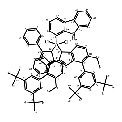 CCc1ccc2c(c1-c1cc(C(C)(C)C)cc(C(C)(C)C)c1)C=C(c1ccccc1)[CH]2[Zr]([Cl])([Cl])([c]1cccc2c1[SiH2]c1ccccc1-2)[CH]1C(c2ccccc2)=Cc2c1ccc(CC)c2-c1cc(C(C)(C)C)cc(C(C)(C)C)c1